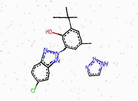 Cc1cc(-n2nc3ccc(Cl)cc3n2)c(O)c(C(C)(C)C)c1.c1c[nH]nn1